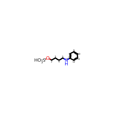 O=S(=O)(O)OCCCCNc1ccccc1